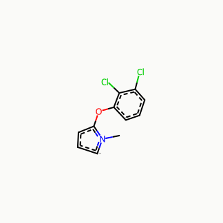 Cn1[c]ccc1Oc1cccc(Cl)c1Cl